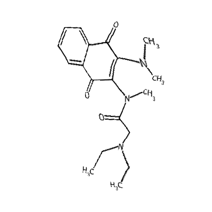 CCN(CC)CC(=O)N(C)C1=C(N(C)C)C(=O)c2ccccc2C1=O